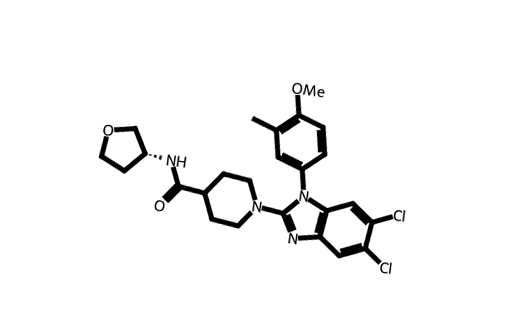 COc1ccc(-n2c(N3CCC(C(=O)N[C@@H]4CCOC4)CC3)nc3cc(Cl)c(Cl)cc32)cc1C